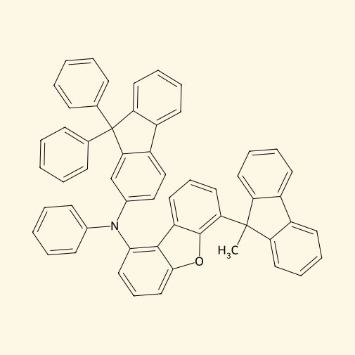 CC1(c2cccc3c2oc2cccc(N(c4ccccc4)c4ccc5c(c4)C(c4ccccc4)(c4ccccc4)c4ccccc4-5)c23)c2ccccc2-c2ccccc21